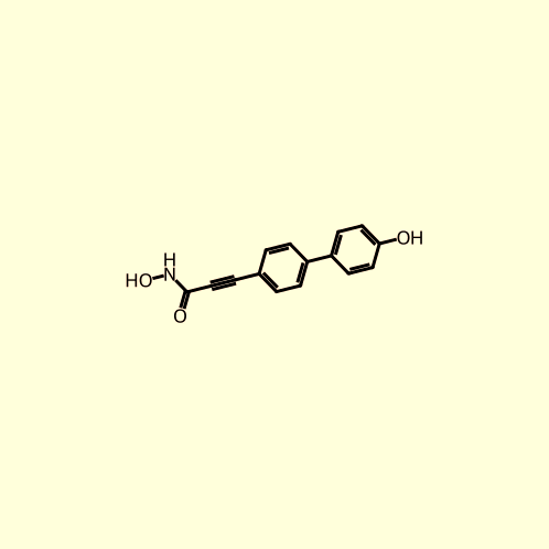 O=C(C#Cc1ccc(-c2ccc(O)cc2)cc1)NO